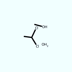 CC(Cl)Cl.CO.O